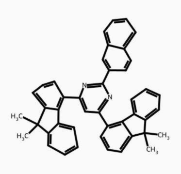 CC1(C)c2ccccc2-c2c(-c3cc(-c4cccc5c4-c4ccccc4C5(C)C)nc(-c4ccc5ccccc5c4)n3)cccc21